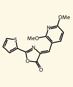 COc1ccc(/C=C2\N=C(c3cccs3)OC2=O)c(OC)n1